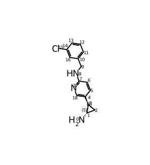 N[C@H]1C[C@@H]1c1ccc(NCc2cccc(Cl)c2)nc1